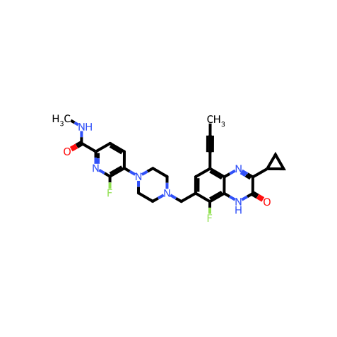 CC#Cc1cc(CN2CCN(c3ccc(C(=O)NC)nc3F)CC2)c(F)c2[nH]c(=O)c(C3CC3)nc12